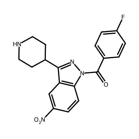 O=C(c1ccc(F)cc1)n1nc(C2CCNCC2)c2cc([N+](=O)[O-])ccc21